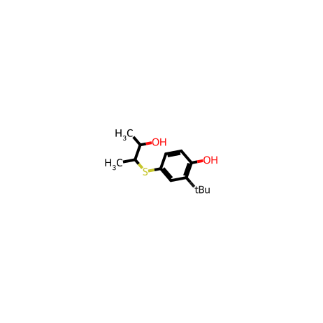 CC(O)C(C)Sc1ccc(O)c(C(C)(C)C)c1